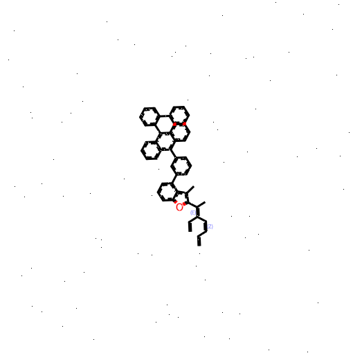 C=C/C=C\C(C=C)=C(/C)c1oc2cccc(-c3cccc(-c4c5ccccc5c(-c5ccccc5-c5ccccc5)c5ccccc45)c3)c2c1C